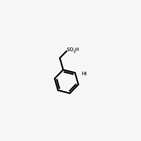 I.O=S(=O)(O)Cc1ccccc1